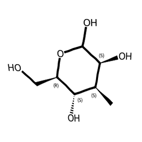 C[C@H]1[C@H](O)[C@@H](CO)OC(O)[C@H]1O